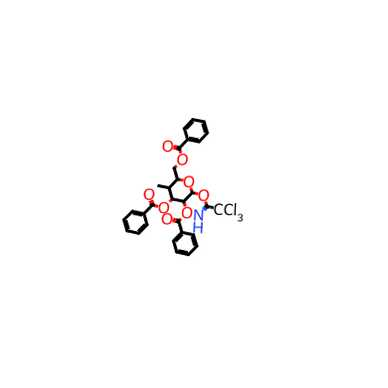 CC1C(COC(=O)c2ccccc2)OC(OC(=N)C(Cl)(Cl)Cl)C(OC(=O)c2ccccc2)C1OC(=O)c1ccccc1